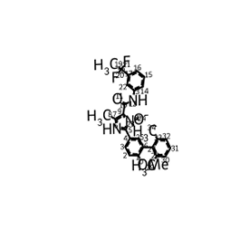 COc1ccc(-c2[nH]c(C)c(C(=O)Nc3cccc(C(C)(F)F)c3)[n+]2[O-])cc1-c1c(C)cccc1C